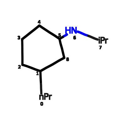 CCCC1CCCC(NC(C)C)C1